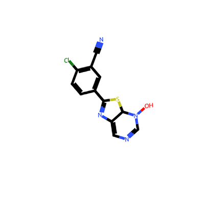 N#Cc1cc(C2=NC3=CN=CN(O)C3S2)ccc1Cl